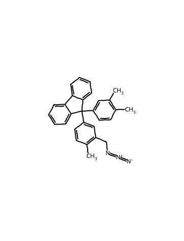 Cc1ccc(C2(c3ccc(C)c(CN=[N+]=[N-])c3)c3ccccc3-c3ccccc32)cc1C